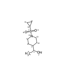 CC(O)C1CCN(S(=O)(=O)C2CC2)CC1